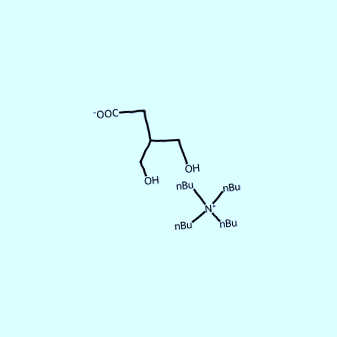 CCCC[N+](CCCC)(CCCC)CCCC.O=C([O-])CC(CO)CO